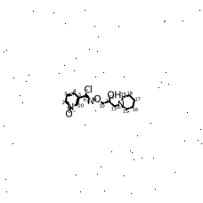 [O-][n+]1cccc(C(Cl)=NOCC(O)CN2CCCCC2)c1